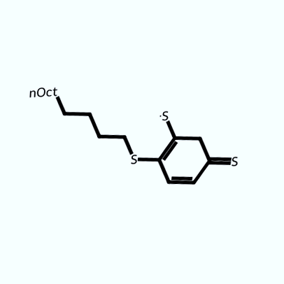 CCCCCCCCCCCCSC1=C([S])CC(=S)C=C1